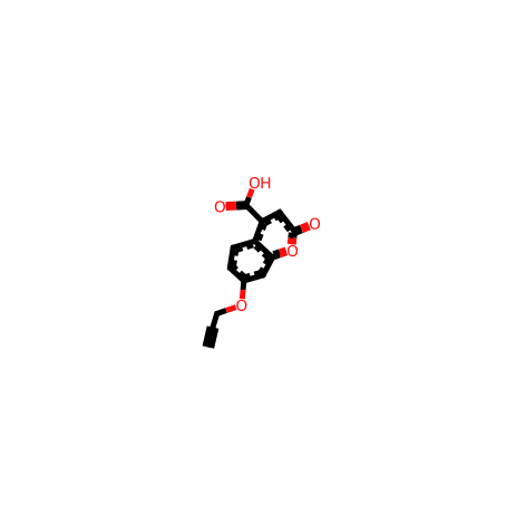 C#CCOc1ccc2c(C(=O)O)cc(=O)oc2c1